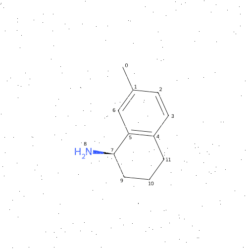 Cc1ccc2c(c1)[C@H](N)CCC2